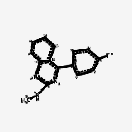 CNc1nc(-c2ccc(F)cc2)c2ccccc2n1